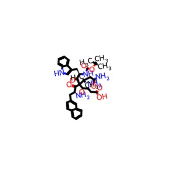 CC(C)(C)OC(=O)N[C@H](Cc1c[nH]c2ccccc12)C(=O)C(C(=O)[C@H](N)CC(=O)O)(C(=O)[C@H](N)Cc1ccc2ccccc2c1)C(C)(C)CC(N)=O